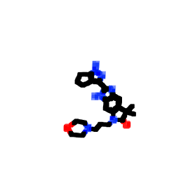 CC1(C)C(=O)N(CCCN2CCOCC2)c2cc3[nH]c(-c4n[nH]c5c4CCC5)nc3cc21